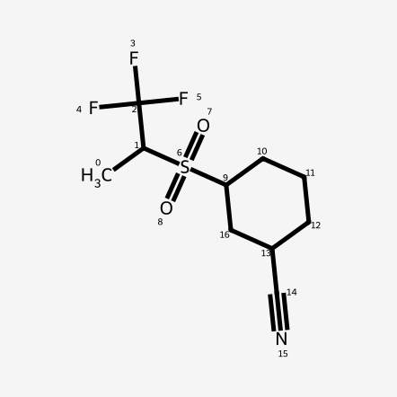 CC(C(F)(F)F)S(=O)(=O)C1CCCC(C#N)C1